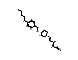 CCCCCc1ccc(CC[C@H]2CC[C@H](C=CC=CC#N)CC2)cc1